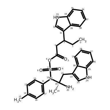 CCC(CC(=O)OS(=O)(=O)N(c1ccc(C)cc1)[C@](C)(N)Cc1c[nH]c2ccccc12)c1c[nH]c2ccccc12